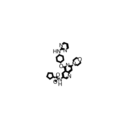 O=S(=O)(Nc1cnc2cc(N3CCOCC3)nc(O[C@H]3CC[C@@H](Nc4ncccn4)CC3)c2c1)C1CCCC1